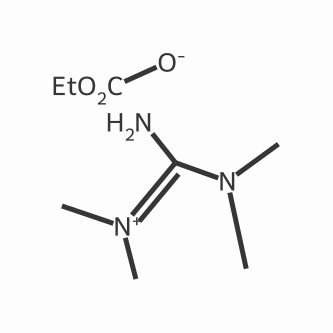 CCOC(=O)[O-].CN(C)C(N)=[N+](C)C